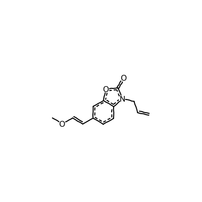 C=CCn1c(=O)oc2cc(C=COC)ccc21